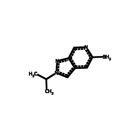 Bc1cc2cn(C(C)C)nc2cn1